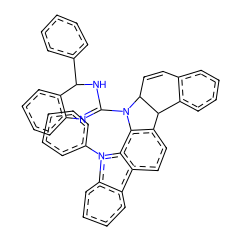 C1=CC2C(c3ccccc31)c1ccc3c4ccccc4n(-c4ccccc4)c3c1N2C1=Nc2ccccc2C(c2ccccc2)N1